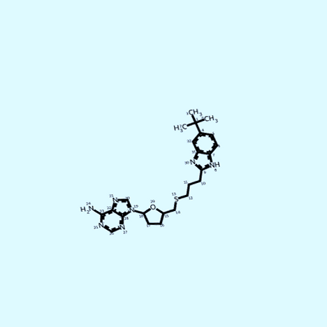 CC(C)(C)c1ccc2[nH]c(CCCSCC3CCC(n4cnc5c(N)ncnc54)O3)nc2c1